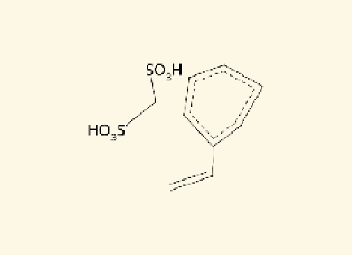 C=Cc1ccccc1.O=S(=O)(O)CS(=O)(=O)O